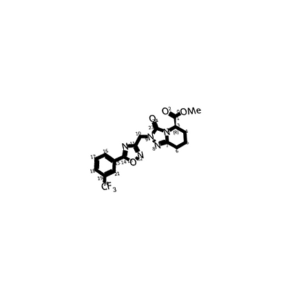 COC(=O)[C@H]1CCCc2nn(Cc3noc(-c4cccc(C(F)(F)F)c4)n3)c(=O)n21